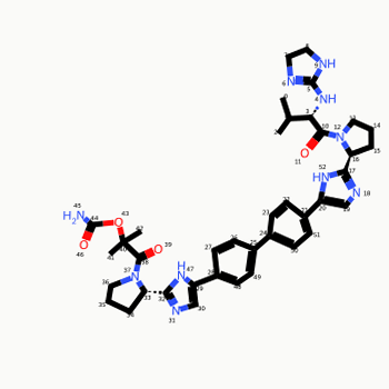 CC(C)[C@H](NC1=NCCN1)C(=O)N1CCC[C@H]1c1ncc(-c2ccc(-c3ccc(-c4cnc([C@@H]5CCCN5C(=O)C(C)(C)OC(N)=O)[nH]4)cc3)cc2)[nH]1